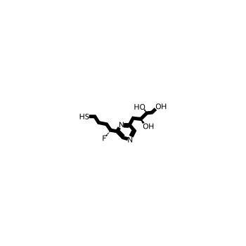 OC[C@@H](O)[C@@H](O)Cc1cncc([C@H](F)CCCS)n1